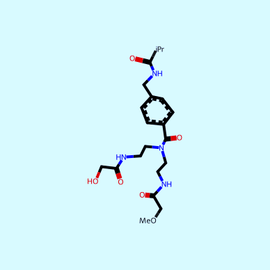 COCC(=O)NCCN(CCNC(=O)CO)C(=O)c1ccc(CNC(=O)C(C)C)cc1